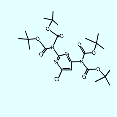 CC(C)(C)OC(=O)N(C(=O)OC(C)(C)C)c1cc(Cl)nc(N(C(=O)OC(C)(C)C)C(=O)OC(C)(C)C)n1